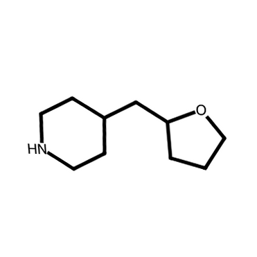 C1COC(CC2CCNCC2)C1